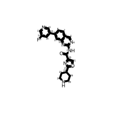 O=C(Nc1ncc2ccc(-c3cncc(F)c3)cc2n1)c1coc(C2CCNCC2)n1